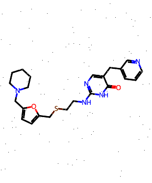 O=c1[nH]c(NCCSCc2ccc(CN3CCCCC3)o2)ncc1Cc1cccnc1